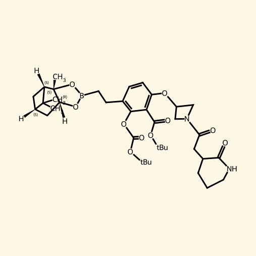 CC(C)(C)OC(=O)Oc1c(CCB2O[C@@H]3C[C@@H]4C[C@@H](C4(C)C)[C@]3(C)O2)ccc(OC2CN(C(=O)CC3CCCNC3=O)C2)c1C(=O)OC(C)(C)C